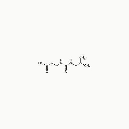 CC(C)CNC(=O)NCCC(=O)O